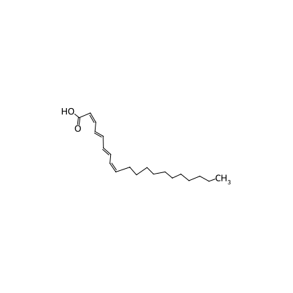 CCCCCCCCCCC\C=C/C=C/C=C/C=C\C(=O)O